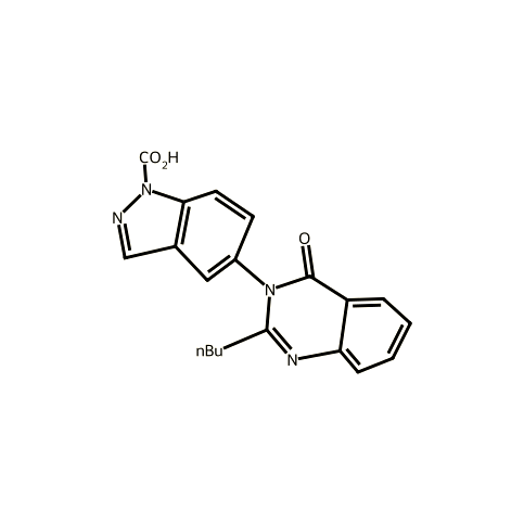 CCCCc1nc2ccccc2c(=O)n1-c1ccc2c(cnn2C(=O)O)c1